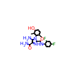 Cc1ccc(O)c(C)c1-n1c(C(=O)Nc2ccc(F)cc2F)nc(C(N)=O)c1N